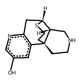 Oc1cnc2c(c1)[C@@]13CCNC[C@H]1[C@@H](C2)SCC3